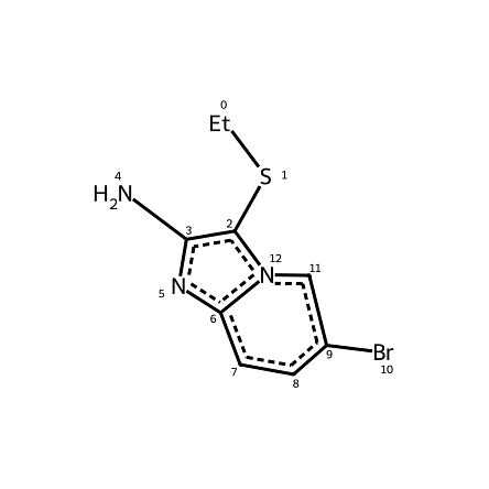 CCSc1c(N)nc2ccc(Br)cn12